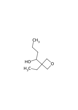 CCCC(O)C1(CC)COC1